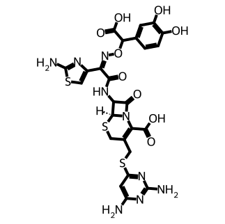 Nc1cc(SCC2=C(C(=O)O)N3C(=O)C(NC(=O)/C(=N\OC(C(=O)O)c4ccc(O)c(O)c4)c4csc(N)n4)[C@@H]3SC2)nc(N)n1